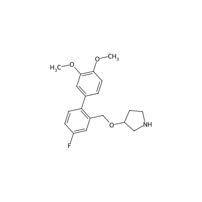 COc1ccc(-c2ccc(F)cc2COC2CCNC2)cc1OC